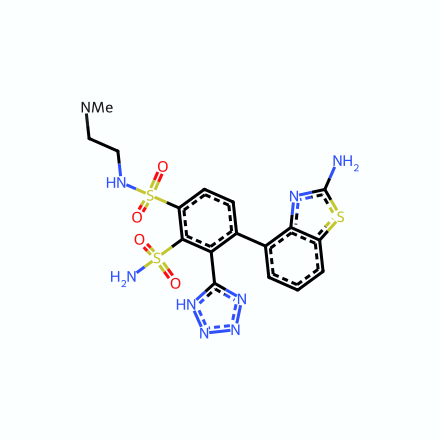 CNCCNS(=O)(=O)c1ccc(-c2cccc3sc(N)nc23)c(-c2nnn[nH]2)c1S(N)(=O)=O